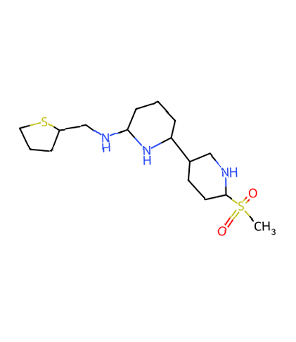 CS(=O)(=O)C1CCC(C2CCCC(NCC3CCCS3)N2)CN1